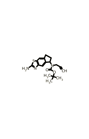 C#CCN(C(=O)OC(C)(C)C)C1CCc2cc3sc(N)nc3cc21